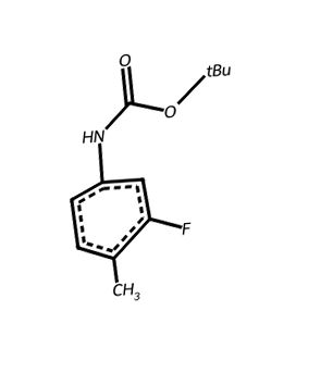 Cc1ccc(NC(=O)OC(C)(C)C)cc1F